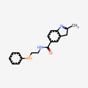 CC1=Nc2ccc(C(=O)NCCPc3ccccc3)cc2C1